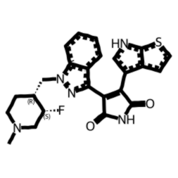 CN1CC[C@H](Cn2nc(C3=C(c4c[nH]c5sccc45)C(=O)NC3=O)c3ccccc32)[C@H](F)C1